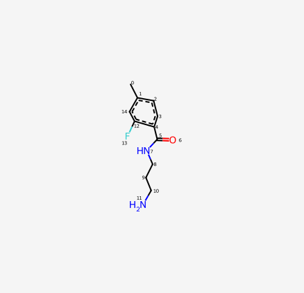 Cc1ccc(C(=O)NCCCN)c(F)c1